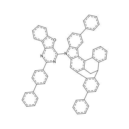 c1ccc(-c2ccc(-c3nc(-n4c5ccc(-c6ccccc6)cc5c5c6c7c(cc54)-c4cc(-c5ccccc5)ccc4C(C7)c4ccccc4-6)c4oc5ccccc5c4n3)cc2)cc1